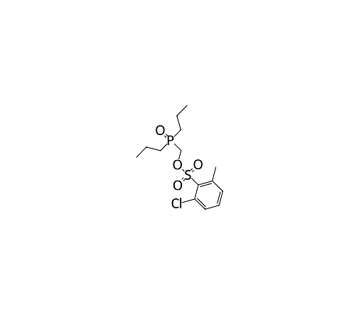 CCCP(=O)(CCC)COS(=O)(=O)c1c(C)cccc1Cl